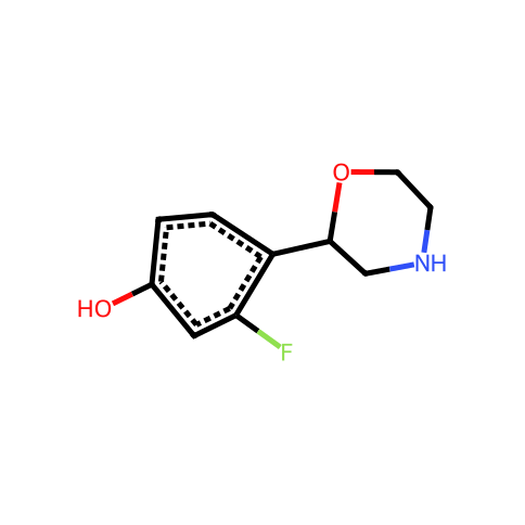 Oc1ccc(C2CNCCO2)c(F)c1